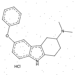 CN(C)C1CCc2[nH]c3ccc(Oc4ccccc4)cc3c2C1.Cl